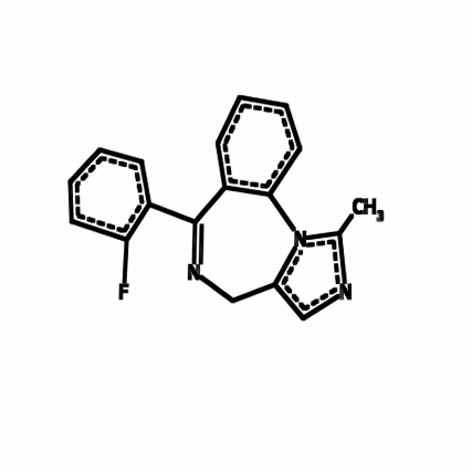 Cc1ncc2n1-c1ccccc1C(c1ccccc1F)=NC2